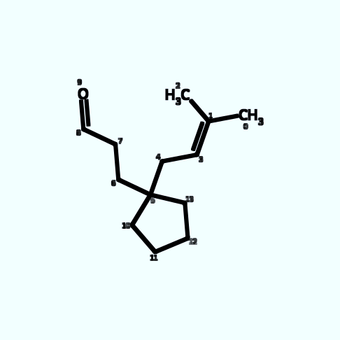 CC(C)=CCC1(CCC=O)CCCC1